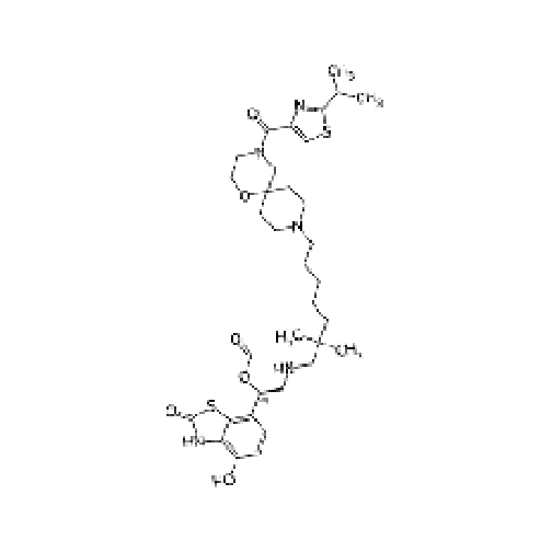 CC(C)c1nc(C(=O)N2CCOC3(CCN(CCCCCC(C)(C)CNC[C@H](OC=O)c4ccc(O)c5[nH]c(=O)sc45)CC3)C2)cs1